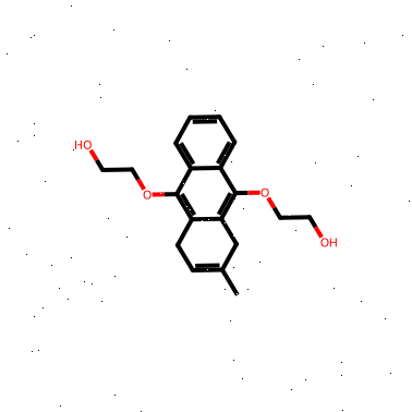 CC1=CCc2c(c(OCCO)c3ccccc3c2OCCO)C1